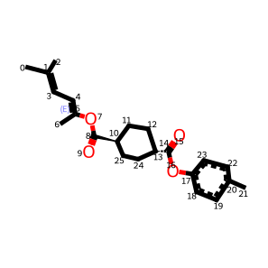 CC(C)=C/C=C(\C)OC(=O)[C@H]1CC[C@H](C(=O)Oc2ccc(C)cc2)CC1